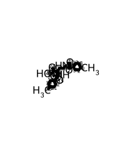 Cc1ccc(S(=O)(=O)NCCC(NS(=O)(=O)c2ccc(C)cc2)C(=O)NO)cc1